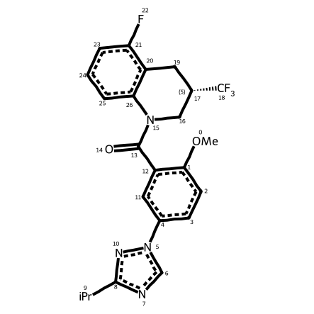 COc1ccc(-n2cnc(C(C)C)n2)cc1C(=O)N1C[C@@H](C(F)(F)F)Cc2c(F)cccc21